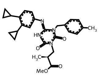 COC(=O)[C@@H](C)Cn1c(=O)[nH]/c(=N\c2ccc(C3CC3)c(C3CC3)c2)n(Cc2ccc(C)cc2)c1=O